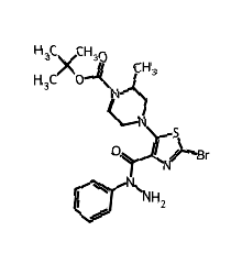 CC1CN(c2sc(Br)nc2C(=O)N(N)c2ccccc2)CCN1C(=O)OC(C)(C)C